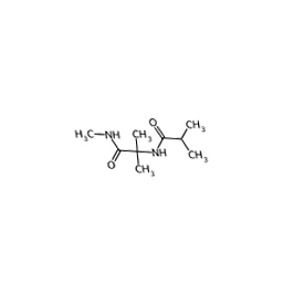 CNC(=O)C(C)(C)NC(=O)C(C)C